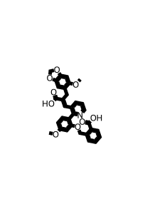 COc1ccc(-c2ncccc2/C=C(\Cc2cc3c(cc2OC)OCO3)C(=O)O)c(OCc2ccccc2C(=O)O)c1